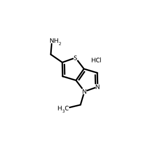 CCn1ncc2sc(CN)cc21.Cl